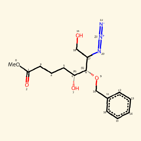 COC(=O)CCC[C@@H](O)[C@@H](OCc1ccccc1)C(CO)N=[N+]=[N-]